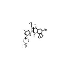 Cc1cc(NC(=O)c2c(N3CCC4(CC3)CC4)cc(Br)c3ccoc23)nc(N2CCC(F)(F)CC2)n1